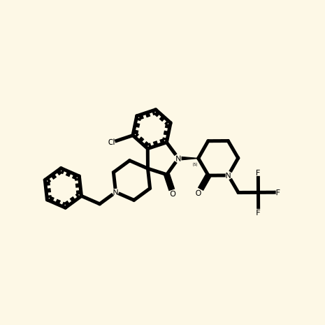 O=C1[C@@H](N2C(=O)C3(CCN(Cc4ccccc4)CC3)c3c(Cl)cccc32)CCCN1CC(F)(F)F